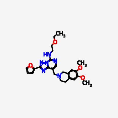 CCOCCNc1ncc(CN2CCc3cc(OC)c(OC)cc3C2)c2nc(-c3ccco3)nn12